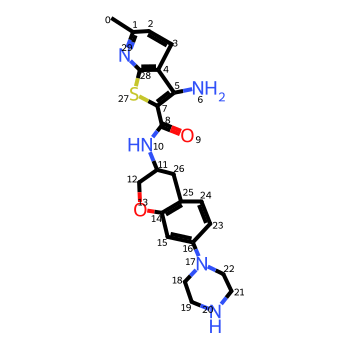 Cc1ccc2c(N)c(C(=O)NC3COc4cc(N5CCNCC5)ccc4C3)sc2n1